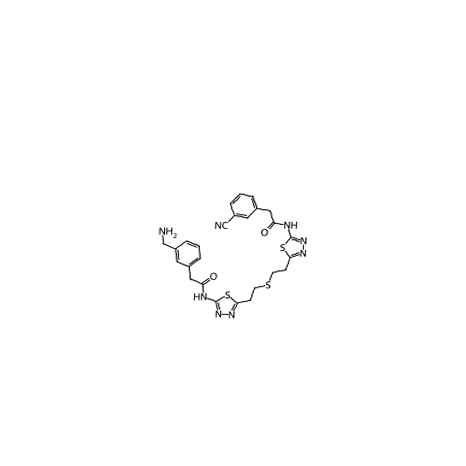 N#Cc1cccc(CC(=O)Nc2nnc(CCSCCc3nnc(NC(=O)Cc4cccc(CN)c4)s3)s2)c1